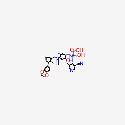 Cc1cc(CN[C@H](CO)C(=O)O)c(OCc2cncc(C#N)c2)cc1NCc1cccc(-c2ccc3c(c2)OCCO3)c1C